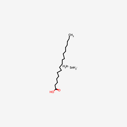 CCCCCCCCCCCCCCCCCC(=O)O.[InH3].[SnH2]